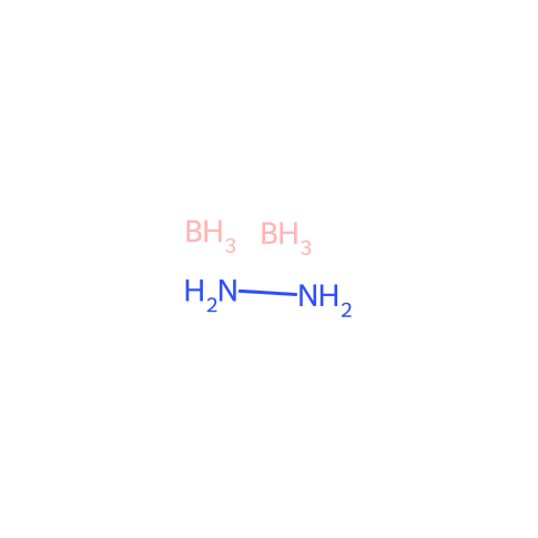 B.B.NN